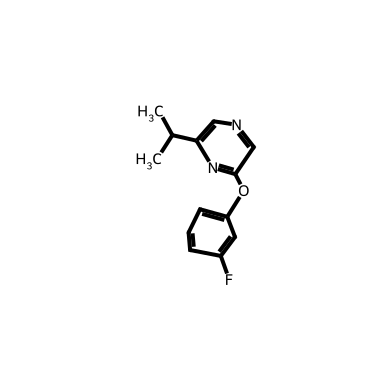 CC(C)c1cncc(Oc2cccc(F)c2)n1